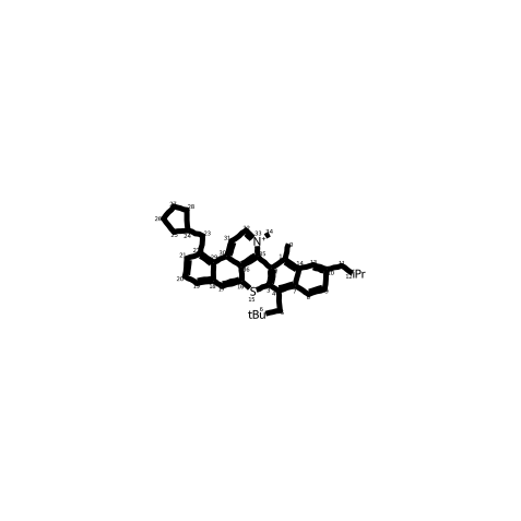 Cc1c2c(c(CC(C)(C)C)c3ccc(CC(C)C)cc13)Sc1cc3cccc(CC4CCCC4)c3c3cc[n+](C)c-2c13